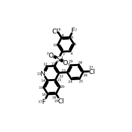 O=S(=O)(c1ccc(F)c(Cl)c1)c1cnc2cc(F)c(Cl)cc2c1-c1ccc(Cl)cc1